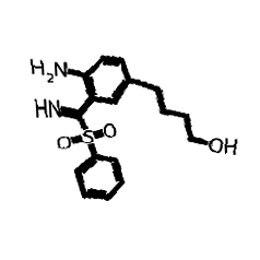 N=C(c1cc(CCCCO)ccc1N)S(=O)(=O)c1ccccc1